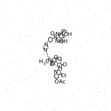 CCc1c2c(nc3ccc(OC(C)=O)cc13)-c1cc3c(c(=O)n1C2)COC(=O)C3(CC)OC(=O)N(C)CCCCN1CCN(Cc2ccc(N(C(=N)c3cc(C(C)C)c(O)cc3O)C(N)=O)cc2)CC1